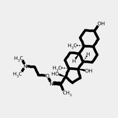 C/C(=N/OCCN(C)C)[C@@]1(O)CC[C@@]2(O)[C@@H]3CCC4CC(O)CC[C@]4(C)[C@H]3CC[C@@]21C